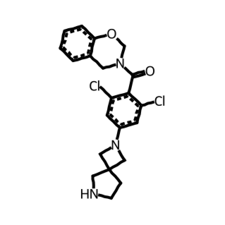 O=C(c1c(Cl)cc(N2CC3(CCNC3)C2)cc1Cl)N1COc2ccccc2C1